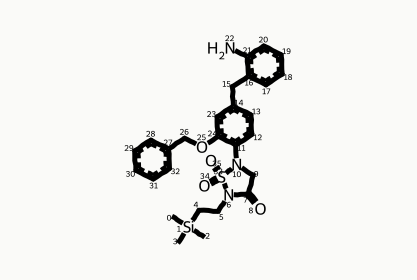 C[Si](C)(C)CCN1C(=O)CN(c2ccc(Cc3ccccc3N)cc2OCc2ccccc2)S1(=O)=O